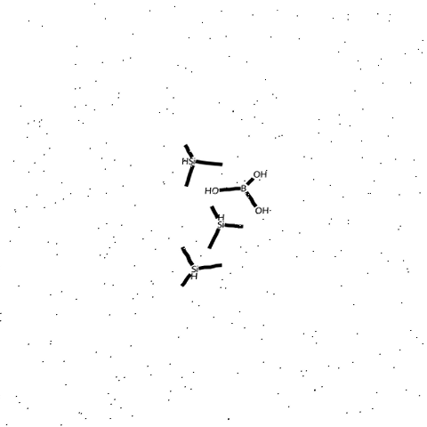 C[SiH](C)C.C[SiH](C)C.C[SiH](C)C.OB(O)O